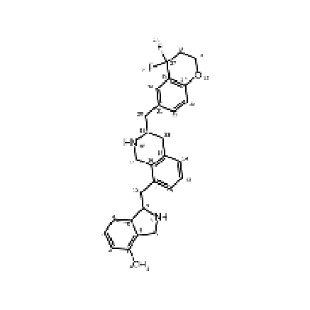 Cc1cccc2c1CNC2Cc1cccc2c1CNC(Cc1ccc3c(c1)C(F)(F)CCO3)C2